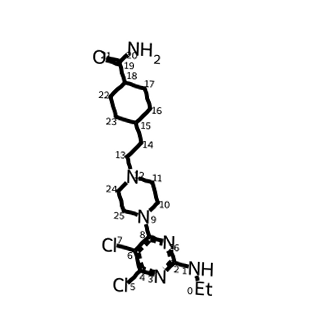 CCNc1nc(Cl)c(Cl)c(N2CCN(CCC3CCC(C(N)=O)CC3)CC2)n1